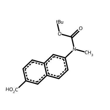 CN(C(=O)OC(C)(C)C)c1ccc2cc(C(=O)O)ccc2c1